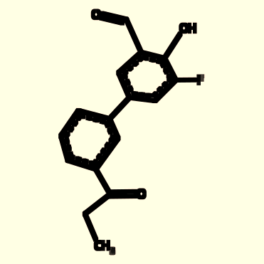 CCC(=O)c1cccc(-c2cc(F)c(O)c(C=O)c2)c1